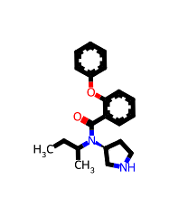 CCC(C)N(C(=O)c1ccccc1Oc1ccccc1)[C@H]1CCNC1